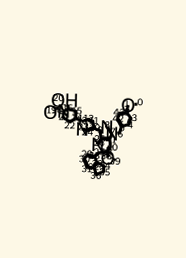 COc1ccc(Cn2nc(-c3ccc(C4CCN(C(=O)O)CC4)nc3)c3nc(-c4cccc5c4CCC5)c(OC)cc32)cc1